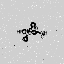 CC(=O)NCCc1ccccc1Oc1ccccc1CCC(=O)N1CCNC[C@H]1Cc1ccccc1